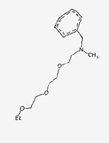 CCOCCOCCOCCN(C)Cc1ccccc1